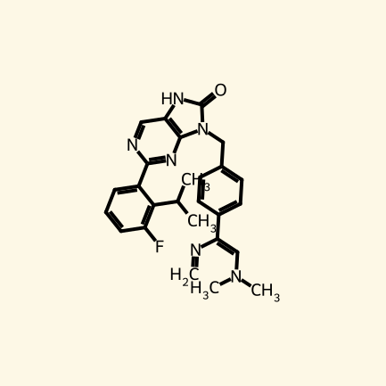 C=N/C(=C\N(C)C)c1ccc(Cn2c(=O)[nH]c3cnc(-c4cccc(F)c4C(C)C)nc32)cc1